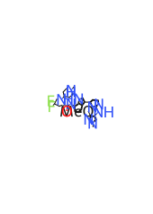 COc1nn(C)cc1Nc1nccc(-c2c[nH]c3c(NC(=O)[C@H]4CC(F)(F)CN4C4CCN(C)CC4)cccc23)n1